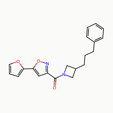 O=C(c1cc(-c2ccco2)on1)N1CC(CCCc2ccccc2)C1